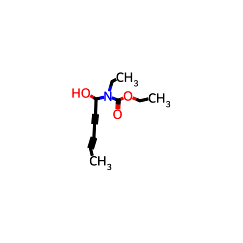 CC#CC#CC(O)N(CC)C(=O)OCC